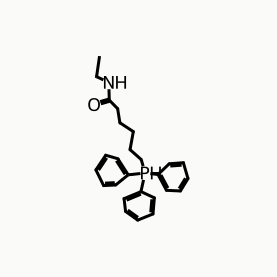 CCNC(=O)CCCCC[PH](c1ccccc1)(c1ccccc1)c1ccccc1